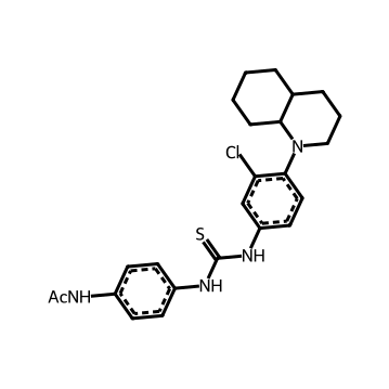 CC(=O)Nc1ccc(NC(=S)Nc2ccc(N3CCCC4CCCCC43)c(Cl)c2)cc1